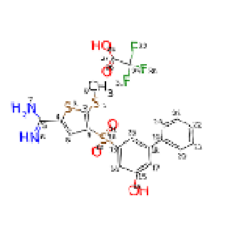 CSc1sc(C(=N)N)cc1S(=O)(=O)c1cc(O)cc(-c2ccccc2)c1.O=C(O)C(F)(F)F